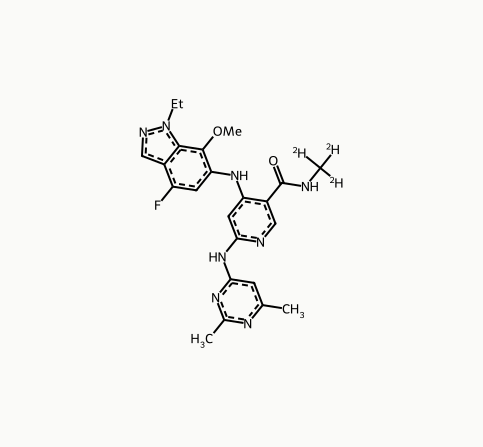 [2H]C([2H])([2H])NC(=O)c1cnc(Nc2cc(C)nc(C)n2)cc1Nc1cc(F)c2cnn(CC)c2c1OC